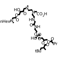 CCCCCCN(C)CC(=O)OC[C@@H](O)C(=O)CN(C)CCN(CCNCC(=O)NCCOP(=O)(O)OCC(COC(=O)C(C)C)OC(=O)C(C)CC(C)(C)C)CC(=O)O